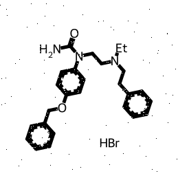 Br.CCN(CCc1ccccc1)CCN(C(N)=O)c1ccc(OCc2ccccc2)cc1